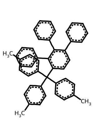 Cc1ccc(C(c2ccc(C)cc2)(c2ccc(C)cc2)c2ccc(-c3ccccc3)c(-c3ccccc3)c2-c2ccccc2)cc1